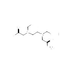 CCC(=O)CN(CCN(CC(=O)O)CC(=O)OC)CC(=O)O